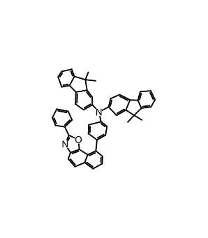 CC1(C)c2ccccc2-c2ccc(N(c3ccc(-c4cccc5ccc6nc(-c7ccccc7)oc6c45)cc3)c3ccc4c(c3)C(C)(C)c3ccccc3-4)cc21